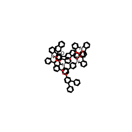 c1ccc(-c2cccc(-c3ccc(N(c4ccc(-c5ccccc5-n5c6ccccc6c6ccccc65)cc4)c4ccccc4-c4cccc5c4oc4c6ccc(-c7ccc8c(c7)c7ccccc7n8-c7ccccc7-c7ccc(N(c8ccc(-c9ccc(-c%10ccccc%10)c(-c%10ccccc%10)c9)cc8)c8ccccc8-c8cccc9c8oc8c%10ccccc%10ccc98)cc7)cc6ccc54)cc3)c2)cc1